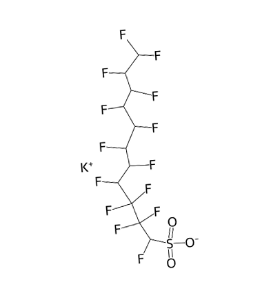 O=S(=O)([O-])C(F)C(F)(F)C(F)(F)C(F)C(F)C(F)C(F)C(F)C(F)C(F)C(F)F.[K+]